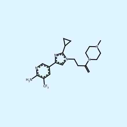 C=C(CCn1cc(-c2cnc(N)c(C(F)(F)F)c2)nc1C1CC1)N1CCN(C)CC1